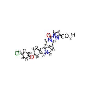 O=C(O)c1ccn(C(=O)N2CCC3(CCN(Cc4cccc(Oc5ccc(Cl)cc5)c4)C3)CC2)n1